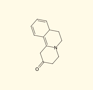 O=C1CCN2CCC3C=CC=CC3=C2C1